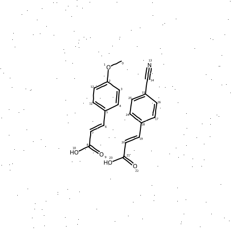 COc1ccc(C=CC(=O)O)cc1.N#Cc1ccc(C=CC(=O)O)cc1